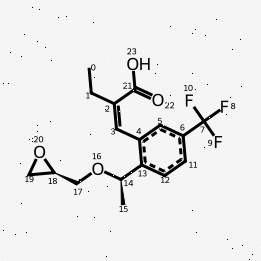 CCC(=Cc1cc(C(F)(F)F)ccc1[C@@H](C)OC[C@H]1CO1)C(=O)O